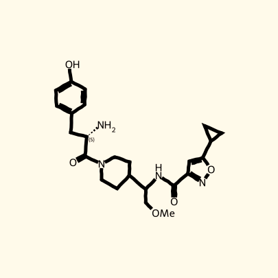 COCC(NC(=O)c1cc(C2CC2)on1)C1CCN(C(=O)[C@@H](N)Cc2ccc(O)cc2)CC1